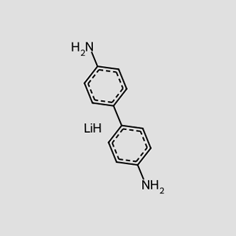 Nc1ccc(-c2ccc(N)cc2)cc1.[LiH]